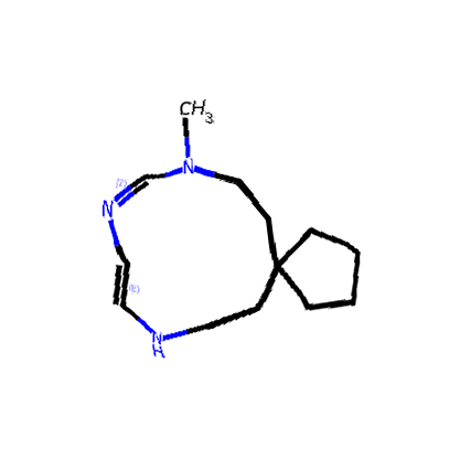 CN1/C=N\C=C\NCCC2(CCCC2)CC1